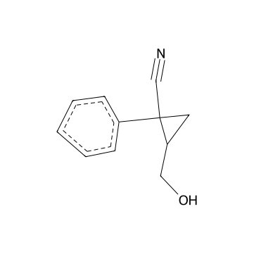 N#CC1(c2ccccc2)CC1CO